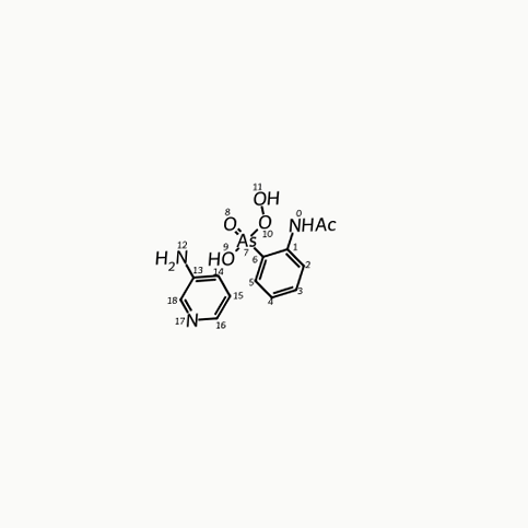 CC(=O)Nc1ccccc1[As](=O)(O)OO.Nc1cccnc1